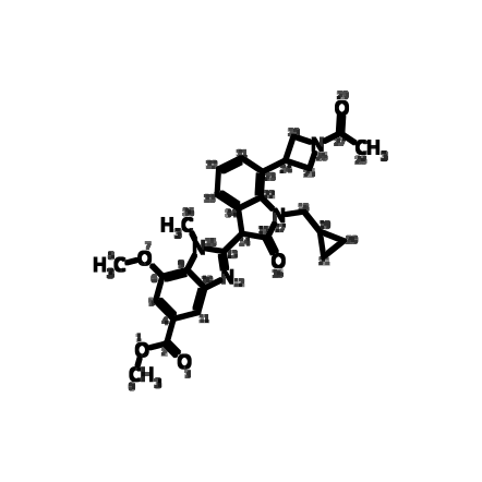 COC(=O)c1cc(OC)c2c(c1)nc(C1C(=O)N(CC3CC3)c3c(C4CN(C(C)=O)C4)cccc31)n2C